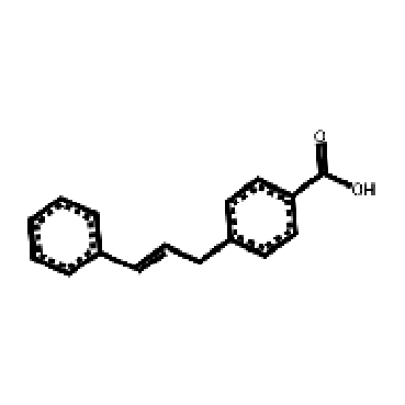 O=C(O)c1ccc(C/C=C/c2ccccc2)cc1